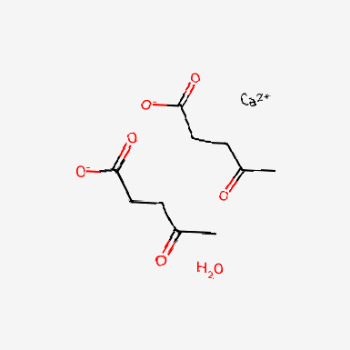 CC(=O)CCC(=O)[O-].CC(=O)CCC(=O)[O-].O.[Ca+2]